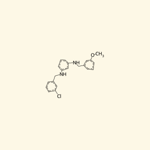 COc1cccc(CNc2cccc(NCc3cccc(Cl)c3)c2)c1